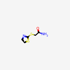 NC(=O)CSc1nccs1